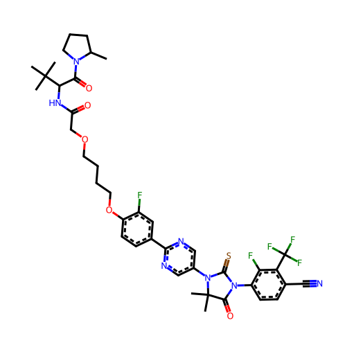 CC1CCCN1C(=O)C(NC(=O)COCCCCOc1ccc(-c2ncc(N3C(=S)N(c4ccc(C#N)c(C(F)(F)F)c4F)C(=O)C3(C)C)cn2)cc1F)C(C)(C)C